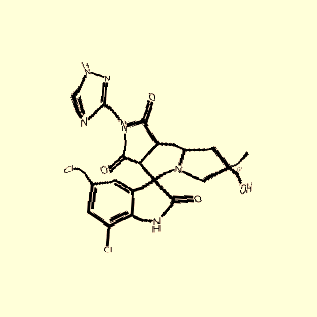 C[C@]1(O)CC2C3C(=O)N(c4nc[nH]n4)C(=O)C3C3(C(=O)Nc4c(Cl)cc(Cl)cc43)N2C1